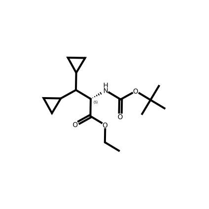 CCOC(=O)[C@@H](NC(=O)OC(C)(C)C)C(C1CC1)C1CC1